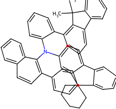 CC1(C)c2ccccc2-c2cccc(-c3ccccc3N(c3ccc4c(c3)C3(CCCCC3)c3ccccc3-4)c3c(-c4ccccc4)ccc4ccccc34)c21